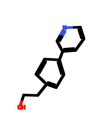 OCCc1ccc(-c2cccnc2)cc1